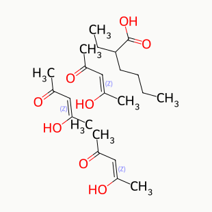 CC(=O)/C=C(/C)O.CC(=O)/C=C(/C)O.CC(=O)/C=C(/C)O.CCCCC(CC)C(=O)O